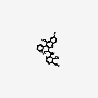 CC(Nc1ncnc(N)c1C#N)c1nc2ccc(F)cc2c(O)c1-c1ccccc1